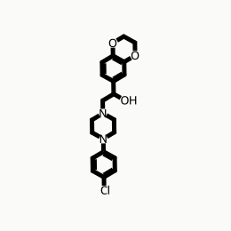 OC(CN1CCN(c2ccc(Cl)cc2)CC1)c1ccc2c(c1)OCCO2